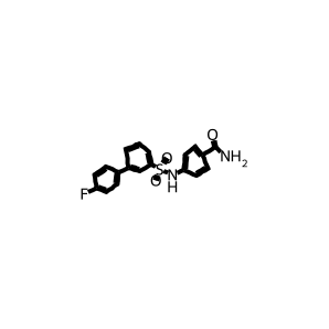 NC(=O)c1ccc(NS(=O)(=O)c2cccc(-c3ccc(F)cc3)c2)cc1